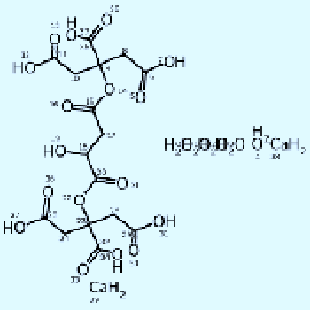 O.O.O.O.O.O=C(O)CC(CC(=O)O)(OC(=O)CC(O)C(=O)OC(CC(=O)O)(CC(=O)O)C(=O)O)C(=O)O.[CaH2].[CaH2]